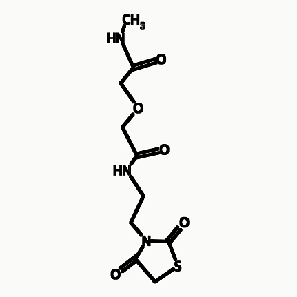 CNC(=O)COCC(=O)NCCN1C(=O)CSC1=O